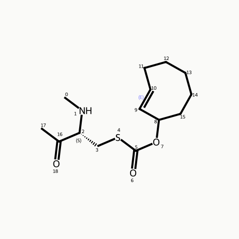 CN[C@H](CSC(=O)OC1/C=C/CCCCC1)C(C)=O